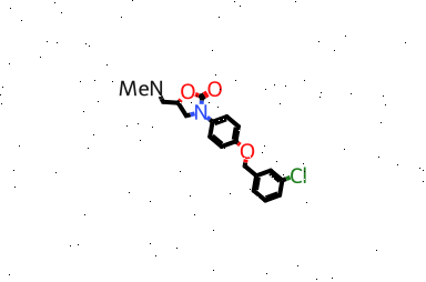 CNCC1CN(c2ccc(OCc3cccc(Cl)c3)cc2)C(=O)O1